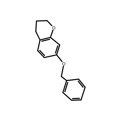 c1ccc(COc2ccc3c(c2)OCCC3)cc1